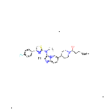 CCc1nc2ccc(C3CCN(C(=O)CCNC)CC3)cn2c1N(C)c1nc(-c2ccc(F)cc2)cs1